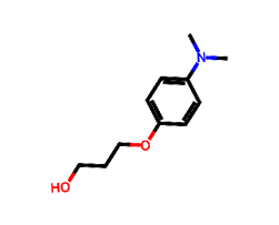 CN(C)c1ccc(OCCCO)cc1